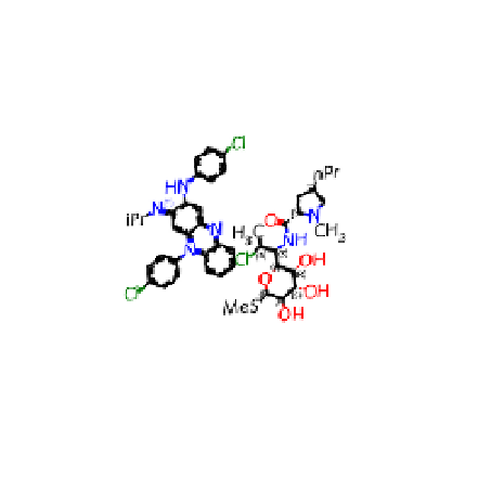 CC(C)/N=c1\cc2n(-c3ccc(Cl)cc3)c3ccccc3nc-2cc1Nc1ccc(Cl)cc1.CCC[C@@H]1C[C@@H](C(=O)N[C@@H]([C@H]2O[C@H](SC)[C@H](O)[C@@H](O)[C@H]2O)[C@H](C)Cl)N(C)C1